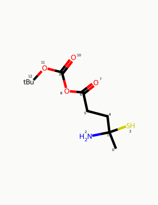 CC(N)(S)CCC(=O)OC(=O)OC(C)(C)C